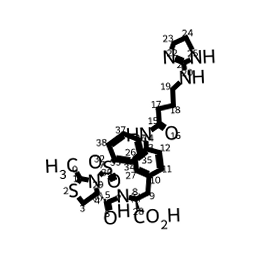 CC1SC[C@@H](C(=O)N[C@@H](Cc2ccc(NC(=O)CCCNC3=NCCN3)cc2)C(=O)O)N1S(=O)(=O)c1ccccc1